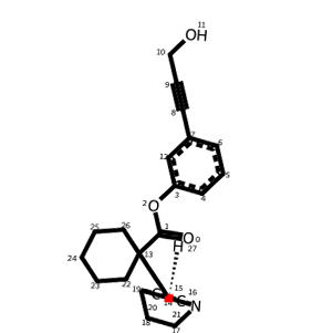 O=C(Oc1cccc(C#CCO)c1)C1([C@@H]2CN3CCC2CC3)CCCCC1